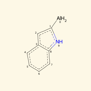 [AlH2][c]1cc2ccccc2[nH]1